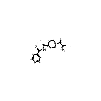 CC(N)C(=O)N1CCC(C(C)NC(=O)c2ccncc2)CC1